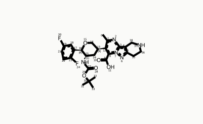 Cc1nc2c3c(nn2c(C(=O)O)c1[C@@H]1CO[C@H](c2cc(F)ccc2F)[C@@H](NC(=O)OC(C)(C)C)C1)CCNC3